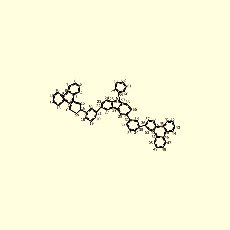 C1=c2c(c3ccccc3c3ccccc23)=CC(c2cccc(-c3ccc4c(c3)c3cc(-c5cccc(-c6ccc7c8ccccc8c8ccccc8c7c6)c5)ccc3n4-c3ccccc3)c2)C1